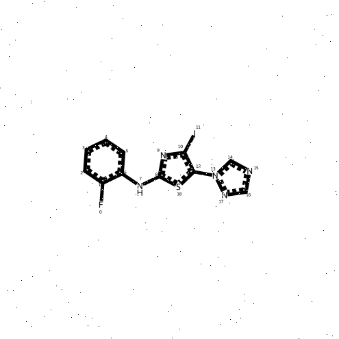 Fc1ccccc1Nc1nc(I)c(-n2cncn2)s1